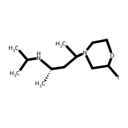 CC(C)N[C@@H](C)CC(C)N1CCOC(I)C1